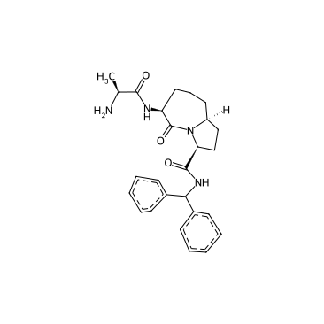 C[C@H](N)C(=O)N[C@H]1CCC[C@H]2CC[C@@H](C(=O)NC(c3ccccc3)c3ccccc3)N2C1=O